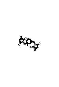 CC1=CC(=O)N(CC2=CC=CC(C)(CN3C(=O)C=C(C)C3=O)C2)C1=O